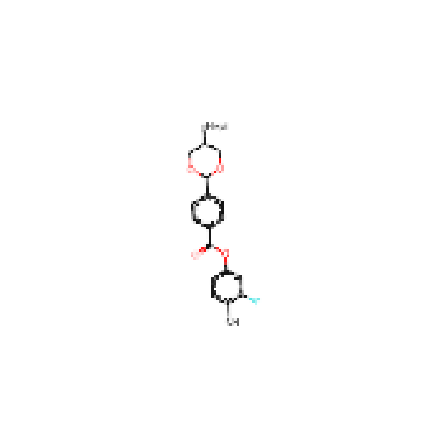 CCCCCCCC1COC(c2ccc(C(=O)Oc3ccc(C#N)c(F)c3)cc2)OC1